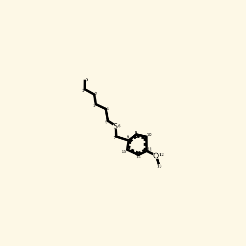 CCCCCCSCc1ccc(OC)cc1